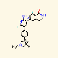 CN1C[C@H]2C[C@@]2(c2ccc(-c3cc(-c4cc(F)c5c(c4)CCNC5=O)c(N)nc3F)cc2)C1